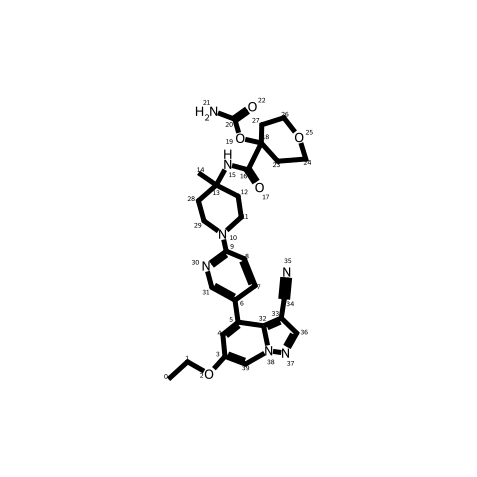 CCOc1cc(-c2ccc(N3CCC(C)(NC(=O)C4(OC(N)=O)CCOCC4)CC3)nc2)c2c(C#N)cnn2c1